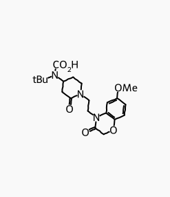 COc1ccc2c(c1)N(CCN1CCC(N(C(=O)O)C(C)(C)C)CC1=O)C(=O)CO2